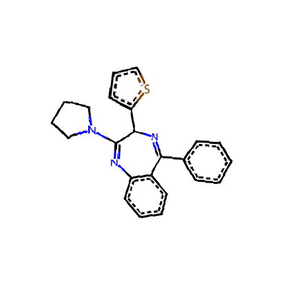 c1ccc(C2=NC(c3cccs3)C(N3CCCC3)=Nc3ccccc32)cc1